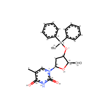 Cc1cn([C@H]2CC(O[Si](c3ccccc3)(c3ccccc3)C(C)(C)C)[C@@H](C=O)O2)c(=O)[nH]c1=O